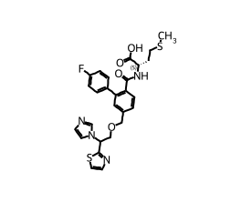 CSCC[C@H](NC(=O)c1ccc(COCC(c2nccs2)n2ccnc2)cc1-c1ccc(F)cc1)C(=O)O